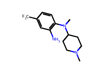 CN1CCC(N(C)c2ccc(C(F)(F)F)cc2N)CC1